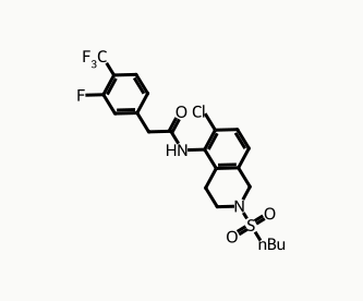 CCCCS(=O)(=O)N1CCc2c(ccc(Cl)c2NC(=O)Cc2ccc(C(F)(F)F)c(F)c2)C1